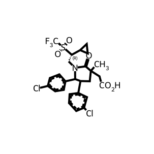 CC1(CC(=O)O)CC(c2cccc(Cl)c2)C(c2ccc(Cl)cc2)N(C[C@@H](C2CC2)S(=O)(=O)C(F)(F)F)C1=O